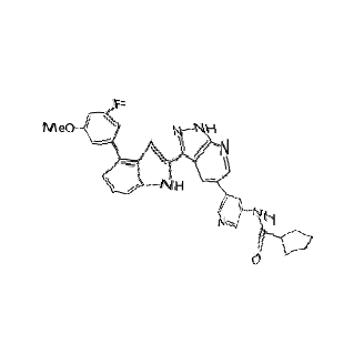 COc1cc(F)cc(-c2cccc3[nH]c(-c4n[nH]c5ncc(-c6cncc(NC(=O)C7CCCC7)c6)cc45)cc23)c1